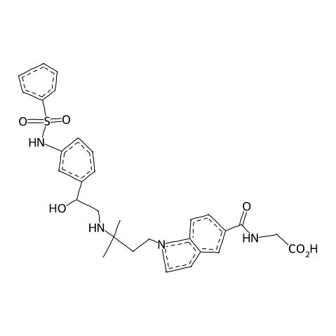 CC(C)(CCn1ccc2cc(C(=O)NCC(=O)O)ccc21)NCC(O)c1cccc(NS(=O)(=O)c2ccccc2)c1